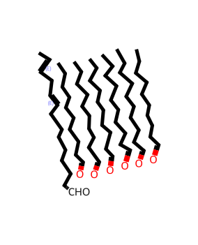 C/C=C/C/C=C/CCCCCCCC=O.CCCCCCCCCC=O.CCCCCCCCCC=O.CCCCCCCCCC=O.CCCCCCCCCC=O.CCCCCCCCCC=O.CCCCCCCCCC=O